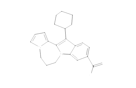 O=C(O)c1ccc2c(C3CCCCC3)c3n(c2c1)CCCn1cccc1-3